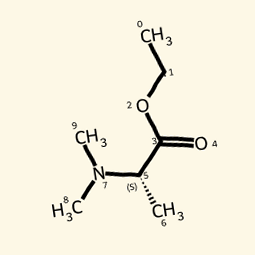 C[CH]OC(=O)[C@H](C)N(C)C